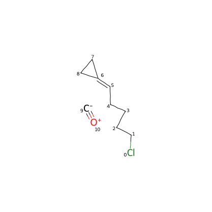 ClCCCCC=C1CC1.[C-]#[O+]